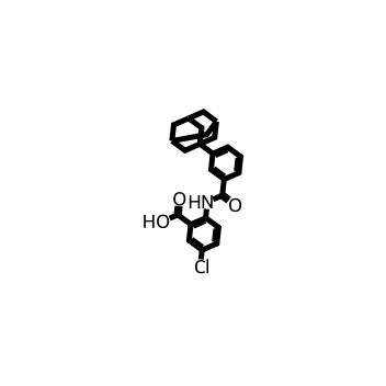 O=C(Nc1ccc(Cl)cc1C(=O)O)c1cccc(C23CC4CC(CC(C4)C2)C3)c1